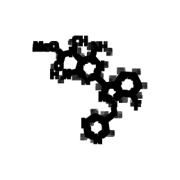 COC(=O)N(C)c1c(N)nc(-c2nn(Cc3cncnc3)c3c(F)cccc23)nc1N